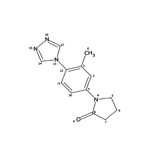 Cc1cc(N2CCCC2=O)ccc1-n1cnnc1